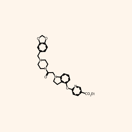 CCOC(=O)c1ccc(Oc2cccc3c2CCN3CC(=O)N2CCN(Cc3ccc4c(c3)OCO4)CC2)nc1